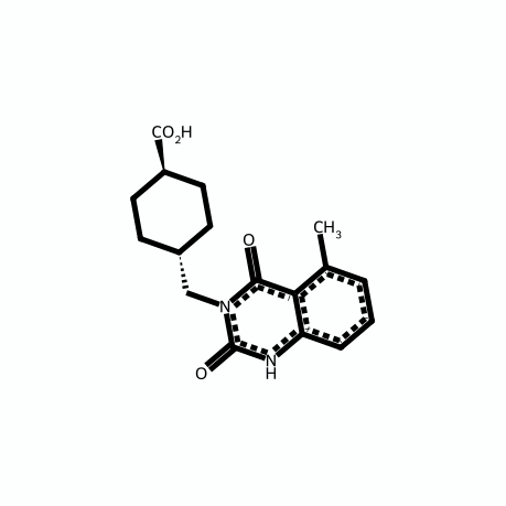 Cc1cccc2[nH]c(=O)n(C[C@H]3CC[C@H](C(=O)O)CC3)c(=O)c12